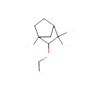 CC(=O)OCOC1C2(C)CCC(C2)C1(C)C